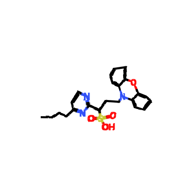 CCCCc1ccnc(C(CCN2c3ccccc3Oc3ccccc32)S(=O)(=O)O)n1